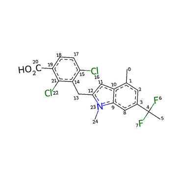 Cc1cc(C(C)(F)F)cc2c1cc(Cc1c(Cl)ccc(C(=O)O)c1Cl)n2C